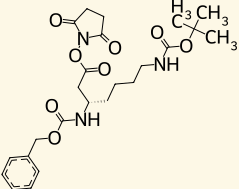 CC(C)(C)OC(=O)NCCCC[C@@H](CC(=O)ON1C(=O)CCC1=O)NC(=O)OCc1ccccc1